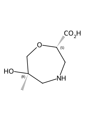 C[C@@]1(O)CNC[C@@H](C(=O)O)OC1